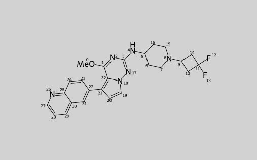 COc1nc(NC2CCN(C3CC(F)(F)C3)CC2)nn2ccc(-c3ccc4ncccc4c3)c12